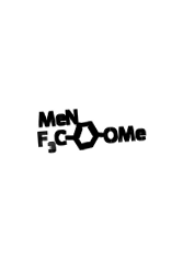 CNc1cc(OC)ccc1C(F)(F)F